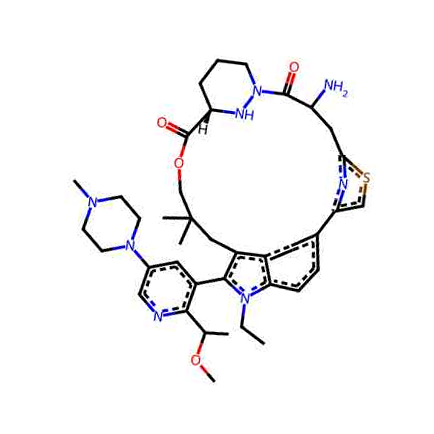 CCn1c(-c2cc(N3CCN(C)CC3)cnc2C(C)OC)c2c3cc(ccc31)-c1csc(n1)CC(N)C(=O)N1CCC[C@H](N1)C(=O)OCC(C)(C)C2